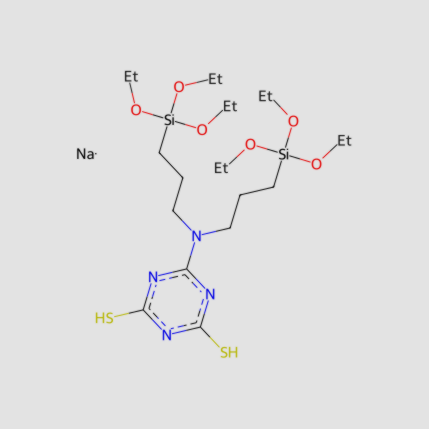 CCO[Si](CCCN(CCC[Si](OCC)(OCC)OCC)c1nc(S)nc(S)n1)(OCC)OCC.[Na]